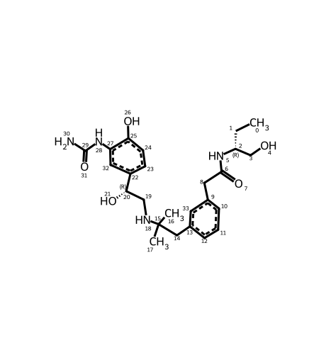 CC[C@H](CO)NC(=O)Cc1cccc(CC(C)(C)NC[C@H](O)c2ccc(O)c(NC(N)=O)c2)c1